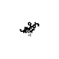 CCO.CCOC(=O)/C=N/OC